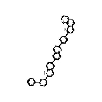 c1ccc(-c2cccc(-c3ccc4cc(-c5ccc6nc(-c7ccc(-c8ccc9ccc%10cccnc%10c9n8)cc7)ccc6c5)ccc4n3)c2)cc1